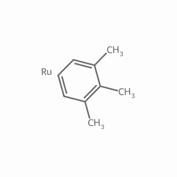 Cc1cccc(C)c1C.[Ru]